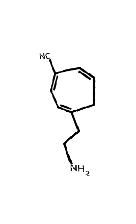 N#CC1=CC=C(CCN)CC=C1